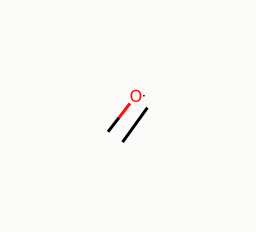 CC.C[O]